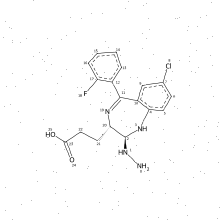 NN[C@@H]1Nc2ccc(Cl)cc2C(c2ccccc2F)=N[C@H]1CCC(=O)O